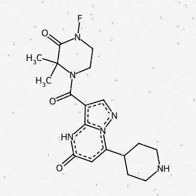 CC1(C)C(=O)N(F)CCN1C(=O)c1cnn2c(C3CCNCC3)cc(=O)[nH]c12